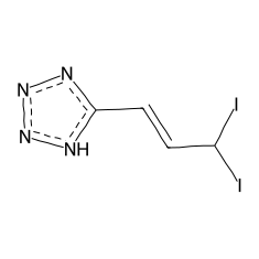 IC(I)/C=C/c1nnn[nH]1